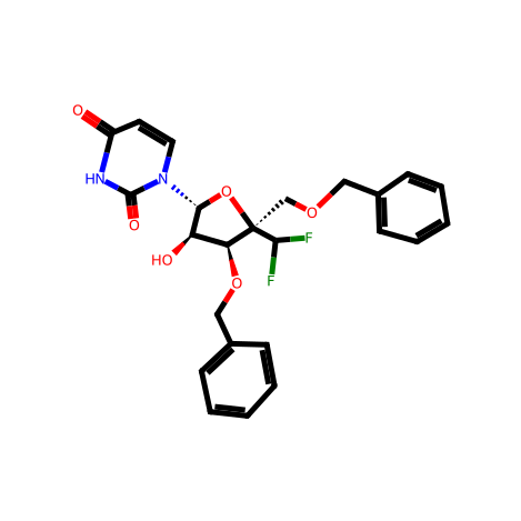 O=c1ccn([C@@H]2O[C@@](COCc3ccccc3)(C(F)F)[C@@H](OCc3ccccc3)[C@H]2O)c(=O)[nH]1